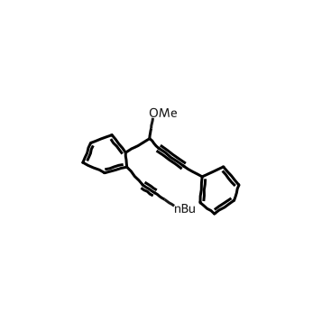 CCCCC#Cc1ccccc1C(C#Cc1ccccc1)OC